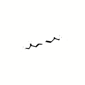 NCC(=O)C=COC=CC(=O)CN